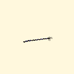 CC/C=C/C/C=C/CCCC/C=C/C/C=C/CC/C=C/CC(=O)O